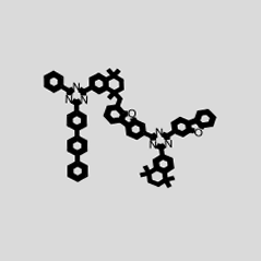 CC1(C)CCC(C)(C)c2cc(-c3nc(-c4ccc5c(c4)oc4ccccc45)nc(-c4ccc5c(c4)oc4c(CC6(C)CCC(C)(C)c7ccc(-c8nc(-c9ccccc9)nc(-c9ccc(-c%10ccc(-c%11ccccc%11)cc%10)cc9)n8)cc76)cccc45)n3)ccc21